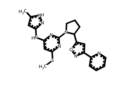 CSc1cc(Nc2cc(C)[nH]n2)nc(N2CCCC2c2cc(-c3ccccn3)no2)n1